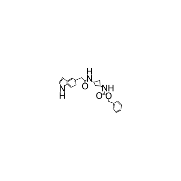 O=C(Cc1ccc2[nH]ccc2c1)N[C@H]1C[C@H](NC(=O)OCc2ccccc2)C1